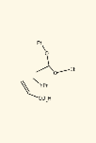 C=CC(=O)O.CCCC.CCOC(C)OCC